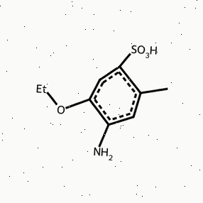 CCOc1cc(S(=O)(=O)O)c(C)cc1N